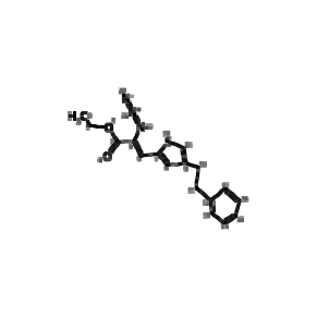 CCOC(=O)/C(=C/c1cc(CCc2ccccc2)cs1)N=[N+]=[N-]